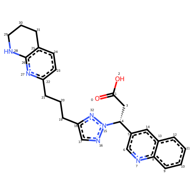 O=C(O)C[C@H](c1cnc2ccccc2c1)n1ncc(CCCc2ccc3c(n2)NCCC3)n1